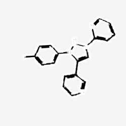 Ic1ccc(N2NN(c3ccccn3)C=C2c2cccnc2)cc1